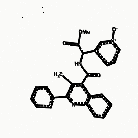 COC(=O)C(NC(=O)c1c(C)c(-c2ccccc2)nc2ccccc12)c1ccc[n+]([O-])c1